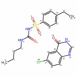 CCCCNC(=O)NS(=O)(=O)c1ccc(CC)cc1.O=c1[nH]cnc2ccc(Cl)cc12